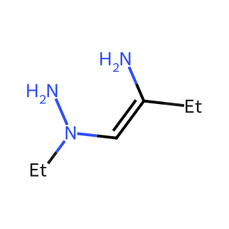 CC/C(N)=C/N(N)CC